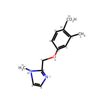 Cc1cc(OCc2nccn2C)ccc1C(=O)O